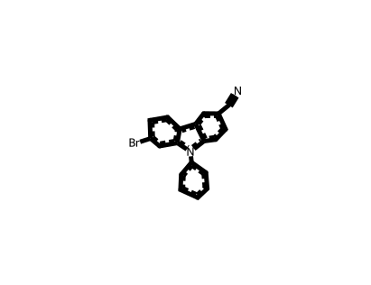 N#Cc1ccc2c(c1)c1ccc(Br)cc1n2-c1ccccc1